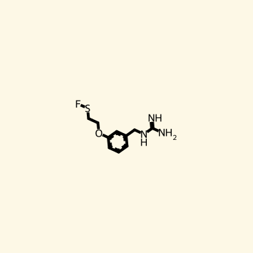 N=C(N)NCc1cccc(OCCSF)c1